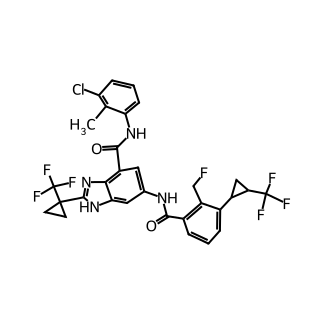 Cc1c(Cl)cccc1NC(=O)c1cc(NC(=O)c2cccc(C3CC3C(F)(F)F)c2CF)cc2[nH]c(C3(C(F)(F)F)CC3)nc12